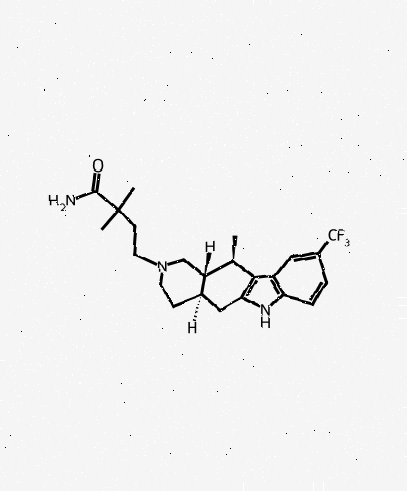 C[C@H]1c2c([nH]c3ccc(C(F)(F)F)cc23)C[C@H]2CCN(CCC(C)(C)C(N)=O)C[C@@H]21